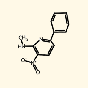 CNc1nc(-c2ccccc2)ccc1[N+](=O)[O-]